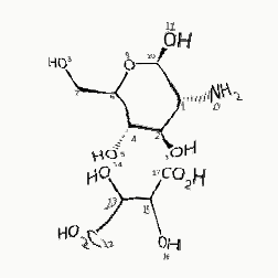 N[C@@H]1[C@@H](O)[C@H](O)[C@@H](CO)O[C@H]1O.O=C(O)C(O)C(O)C(=O)O